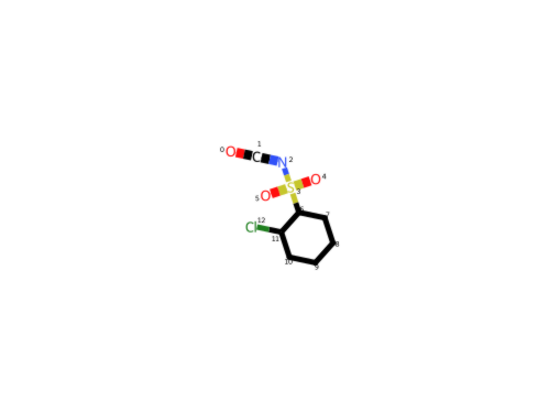 O=C=NS(=O)(=O)C1CCCCC1Cl